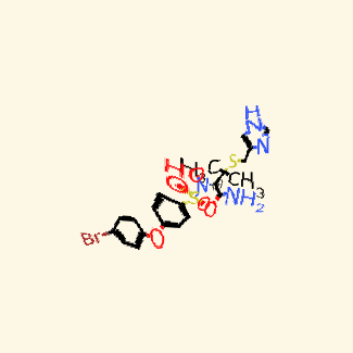 CC(C)(SCc1c[nH]cn1)[C@H](C(N)=O)N(O)S(=O)(=O)c1ccc(Oc2ccc(Br)cc2)cc1